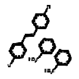 Clc1ccc(C=Cc2ccc(Cl)cc2)cc1.O=C(O)c1ccccc1.O=C(O)c1ccccc1